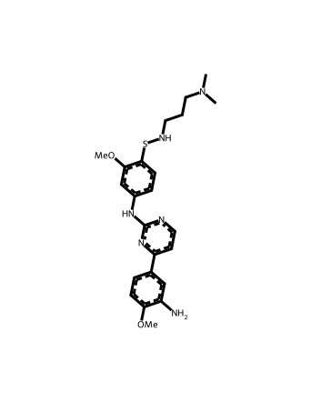 COc1ccc(-c2ccnc(Nc3ccc(SNCCCN(C)C)c(OC)c3)n2)cc1N